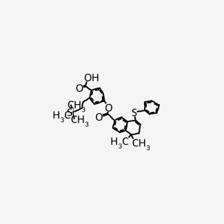 CC1(C)CC=C(Sc2ccccc2)c2cc(C(=O)Oc3ccc(C(=O)O)c(CC[Si](C)(C)C)c3)ccc21